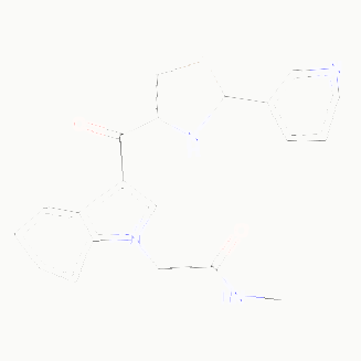 CNC(=O)Cn1cc(C(=O)C2CSC(c3cccnc3)N2)c2ccccc21